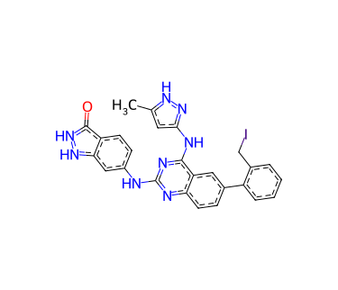 Cc1cc(Nc2nc(Nc3ccc4c(=O)[nH][nH]c4c3)nc3ccc(-c4ccccc4CI)cc23)n[nH]1